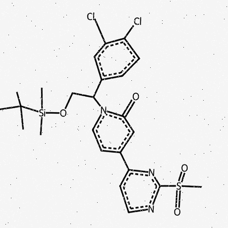 CC(C)(C)[Si](C)(C)OCC(c1ccc(Cl)c(Cl)c1)n1ccc(-c2ccnc(S(C)(=O)=O)n2)cc1=O